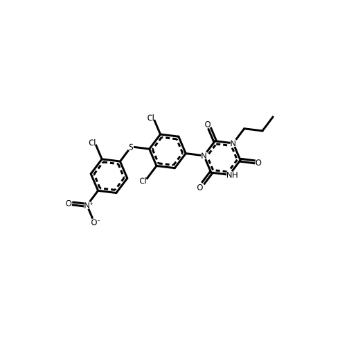 CCCn1c(=O)[nH]c(=O)n(-c2cc(Cl)c(Sc3ccc([N+](=O)[O-])cc3Cl)c(Cl)c2)c1=O